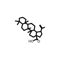 C=C(C)C1CCC2(C(=O)O)CCC3(C)C(CCC4C5(C)CCCC(C)(C)C5CCC43C)C12